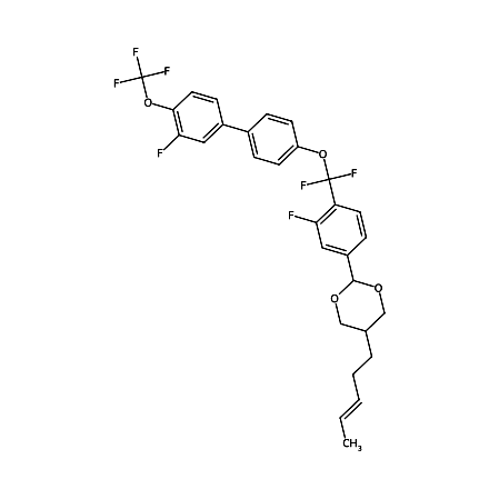 C/C=C/CCC1COC(c2ccc(C(F)(F)Oc3ccc(-c4ccc(OC(F)(F)F)c(F)c4)cc3)c(F)c2)OC1